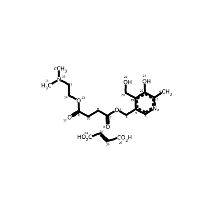 Cc1ncc(COC(=O)CCC(=O)OCCN(C)C)c(CO)c1O.O=C(O)C=CC(=O)O